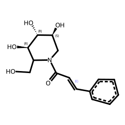 O=C(/C=C/c1ccccc1)N1C[C@H](O)[C@@H](O)[C@H](O)C1CO